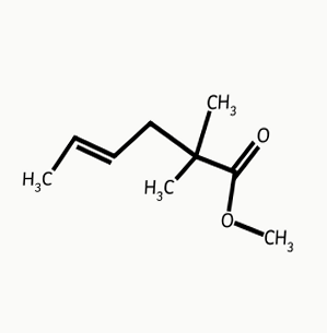 CC=CCC(C)(C)C(=O)OC